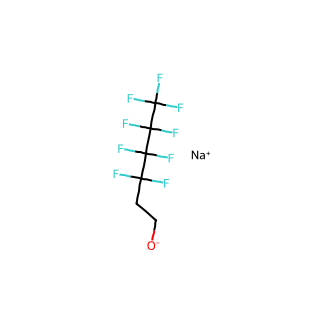 [Na+].[O-]CCC(F)(F)C(F)(F)C(F)(F)C(F)(F)F